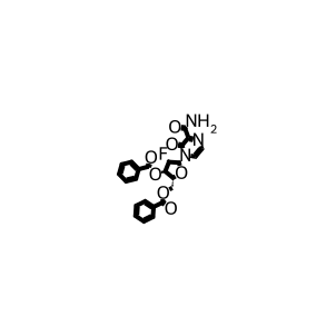 NC(=O)c1nccn([C@@H]2O[C@H](COC(=O)c3ccccc3)[C@@H](OC(=O)c3ccccc3)[C@H]2F)c1=O